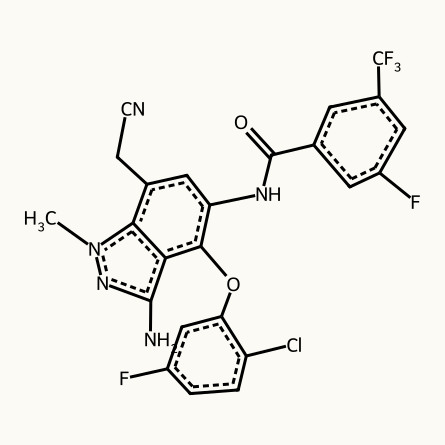 Cn1nc(N)c2c(Oc3cc(F)ccc3Cl)c(NC(=O)c3cc(F)cc(C(F)(F)F)c3)cc(CC#N)c21